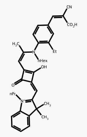 CCCCCCN(C(C)=CC1=C(O)/C(=C/C2=[N+](CCC)c3ccccc3C2(C)C)C1=O)c1ccc(/C=C(/C#N)C(=O)O)cc1CC